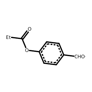 CCC(=O)Oc1ccc([C]=O)cc1